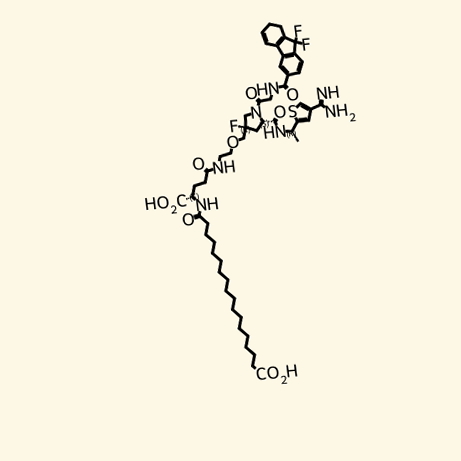 C[C@@H](NC(=O)[C@@H]1C[C@](F)(COCCNC(=O)CC[C@H](NC(=O)CCCCCCCCCCCCCCCCC(=O)O)C(=O)O)CN1C(=O)CNC(=O)c1ccc2c(c1)C1=C(CCC=C1)C2(F)F)c1cc(C(=N)N)cs1